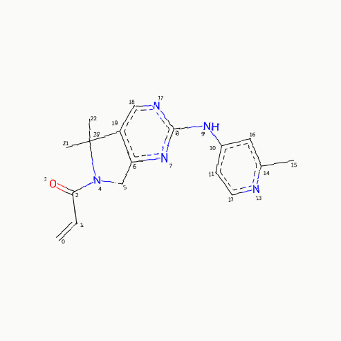 C=CC(=O)N1Cc2nc(Nc3ccnc(C)c3)ncc2C1(C)C